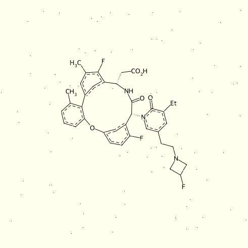 CCc1cc(CCN2CC(F)C2)cn([C@H]2C(=O)N[C@@H](CC(=O)O)c3cc(cc(C)c3F)-c3c(C)cccc3Oc3ccc(F)c2c3)c1=O